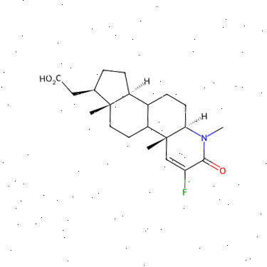 CN1C(=O)C(F)=C[C@]2(C)C3CC[C@]4(C)[C@@H](CC(=O)O)CC[C@H]4C3CC[C@@H]12